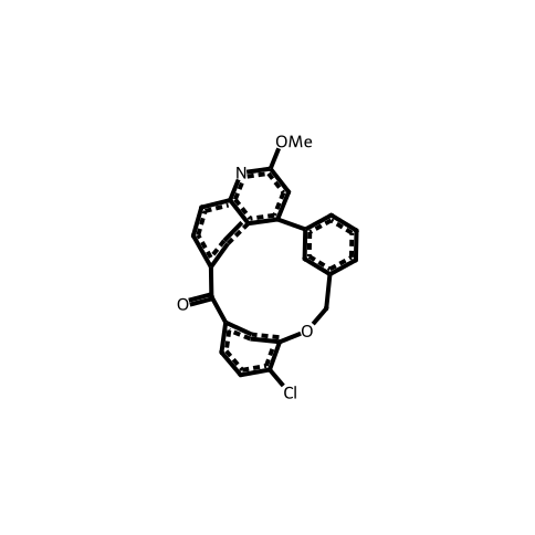 COc1cc2c3cc(ccc3n1)C(=O)c1ccc(Cl)c(c1)OCc1cccc-2c1